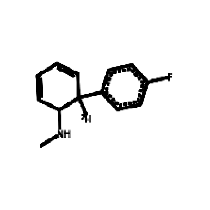 [2H]C1(c2ccc(F)cc2)C=CC=CC1NC